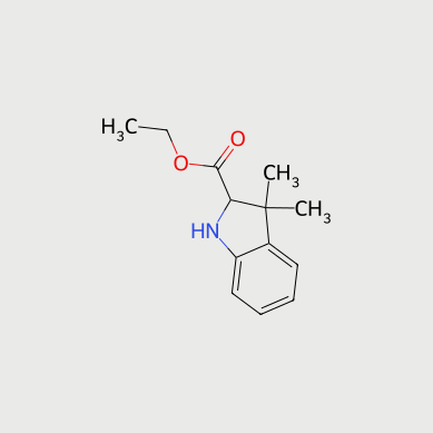 CCOC(=O)C1Nc2ccccc2C1(C)C